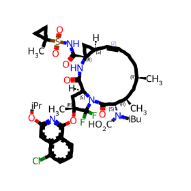 CCC(C)N(C(=O)O)[C@@H]1C(=O)N2[C@@H](C[C@@](C)(Oc3nc(OC(C)C)cc4c(Cl)cccc34)C2(F)F)C(=O)N[C@]2(C(=O)NS(=O)(=O)C3(C)CC3)C[C@H]2/C=C\CC[C@@H](C)C[C@H]1C